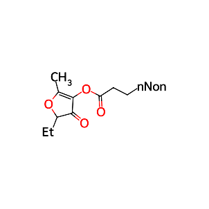 CCCCCCCCCCCC(=O)OC1=C(C)OC(CC)C1=O